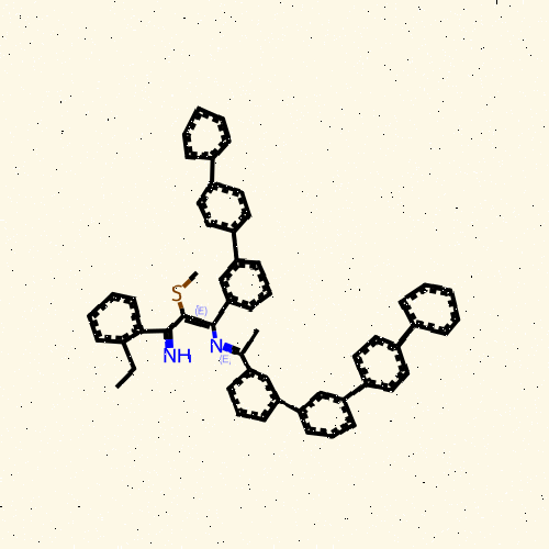 CCc1ccccc1C(=N)/C(SC)=C(\N=C(/C)c1cccc(-c2cccc(-c3ccc(-c4ccccc4)cc3)c2)c1)c1cccc(-c2ccc(-c3ccccc3)cc2)c1